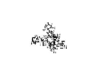 Cc1cccc(C)c1-c1cc(OCC(CC(C)(C)C(F)(F)F)NC2CC(NC(=O)OC(C)(C)C)C2)nc(NS(=O)(=O)c2cccc(C(=O)O)c2)n1